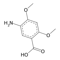 COc1cc(OC)c(C(=O)O)cc1N